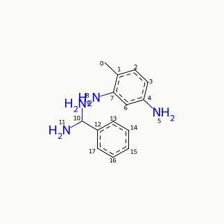 Cc1ccc(N)cc1N.NC(N)c1ccccc1